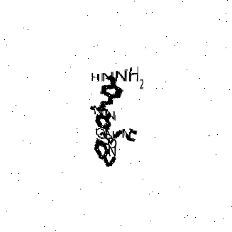 CCN(CC)CCN(c1ccc2c(c1)nc(CCc1ccc(C(=N)N)cc1)n2C)S(=O)(=O)c1cccc2cccnc12